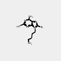 CCCCc1nc2c(N)nc(O)nc2n1CCCCN